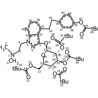 CN(C)CCn1nc(O[C@@H]2O[C@H](COC(=O)C(C)(C)C)[C@@H](OC(=O)C(C)(C)C)[C@H](OC(=O)C(C)(C)C)[C@H]2OC(=O)C(C)(C)C)c2c(CCc3ccc(OC(=O)C(C)(C)C)cc3)ccnc21